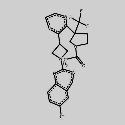 CC(=O)N1CCC(c2nccnc2C2CN(c3ncc4cc(Cl)ccc4n3)C2)(C(F)(F)F)C1